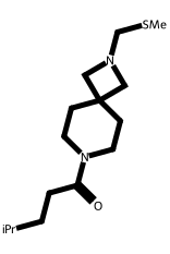 CSCN1CC2(CCN(C(=O)CCC(C)C)CC2)C1